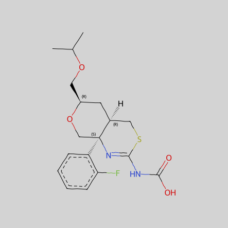 CC(C)OC[C@H]1C[C@H]2CSC(NC(=O)O)=N[C@@]2(c2ccccc2F)CO1